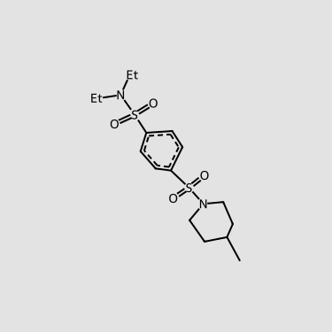 CCN(CC)S(=O)(=O)c1ccc(S(=O)(=O)N2CCC(C)CC2)cc1